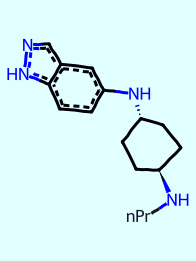 CCCN[C@H]1CC[C@H](Nc2ccc3[nH]ncc3c2)CC1